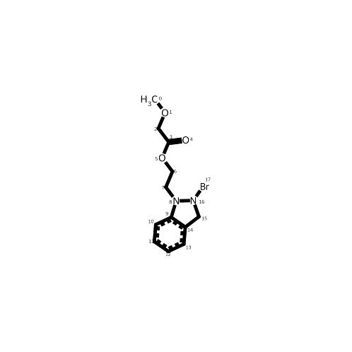 COCC(=O)OCCN1c2ccccc2CN1Br